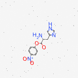 NC(Cc1c[nH]cn1)C(=O)Oc1ccc([N+](=O)[O-])cc1